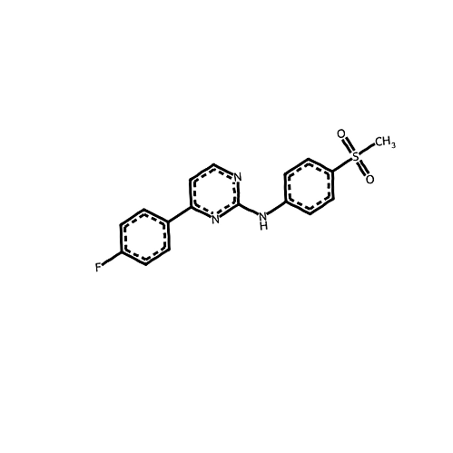 CS(=O)(=O)c1ccc(Nc2nccc(-c3ccc(F)cc3)n2)cc1